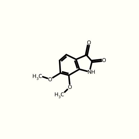 COc1ccc2c(c1OC)NC(=O)C2=O